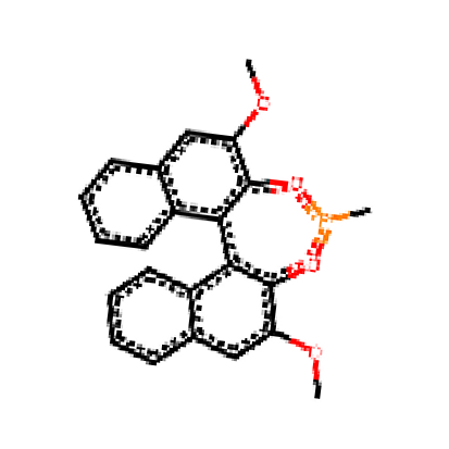 COc1cc2ccccc2c2c1op(C)oc1c(OC)cc3ccccc3c12